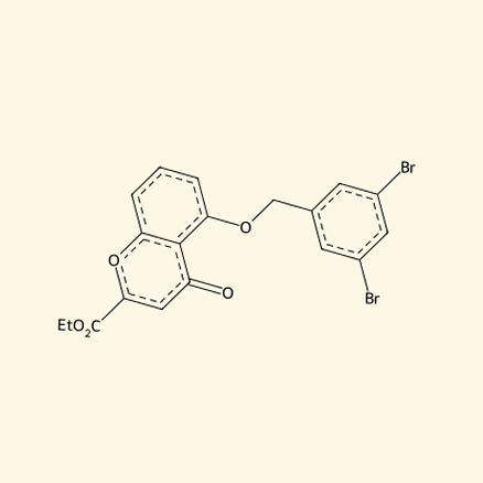 CCOC(=O)c1cc(=O)c2c(OCc3cc(Br)cc(Br)c3)cccc2o1